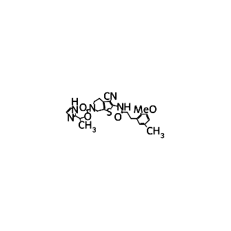 COc1ccc(C)cc1CCC(=O)Nc1sc2c(c1C#N)CCN(C(=O)OC(C)c1ncc[nH]1)C2